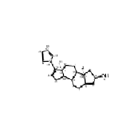 C[C@]12CC(O)CC1CCC1C2CC[C@]2(C)C(n3ccnc3)=CCC12